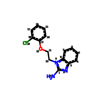 Nc1nc2ccccc2n1CCOc1ccccc1Cl